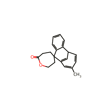 CC1=CC2=CC(C=C1)c1ccccc1C21CCOC(=O)CC1